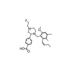 CC/C=C\c1c(C)c(C)cc(OC)c1CN1CCN(CCF)CC1c1ccc(C(=O)O)cc1